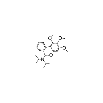 COc1ccc(-c2ccccc2C(=O)N(C(C)C)C(C)C)c(OC)c1OC